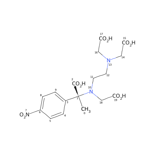 C[C@](C(=O)O)(c1ccc([N+](=O)[O-])cc1)N(CCN(CC(=O)O)CC(=O)O)CC(=O)O